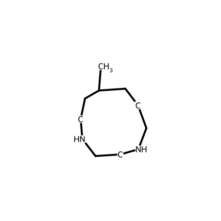 CC1CCCNCCNCC1